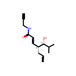 C#CCNC(=O)/C=C/[C@@H](CC=C)[C@H](O)C(C)C